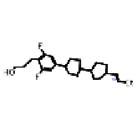 CC/C=C/C1CCC(C2CCC(c3cc(F)c(CCCO)c(F)c3)CC2)CC1